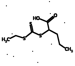 CCCC(SC(=S)SCC)C(=O)O